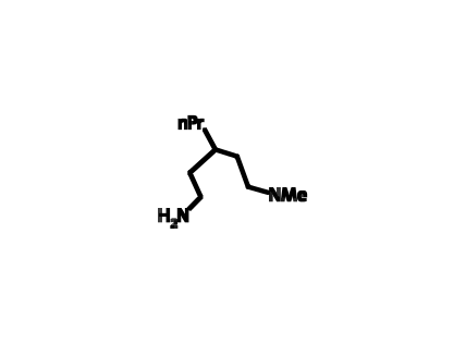 CCCC(CCN)CCNC